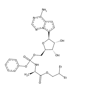 CCC(CC)COC(=O)[C@@H](C)NP(=O)(OC[C@H]1O[C@@H](c2ccc3c(N)ncnn23)[C@H](O)[C@@H]1O)Oc1ccccc1